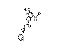 Cc1nc2c(c(NC3CC3)n1)CN(C(=O)CC1CN(c3cccnc3)C1)C2